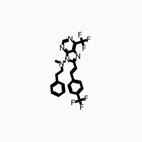 CN(CCc1ccccc1)n1c(C=Cc2ccc(C(F)(F)F)cc2)nc2c(C(F)(F)F)ncnc21